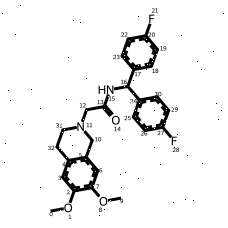 COc1cc2c(cc1OC)CN(CC(=O)NC(c1ccc(F)cc1)c1ccc(F)cc1)CC2